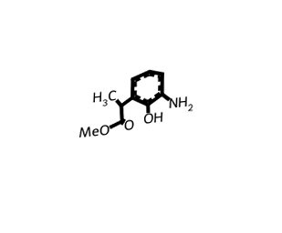 COC(=O)C(C)c1cccc(N)c1O